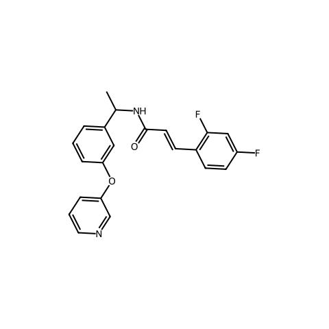 CC(NC(=O)C=Cc1ccc(F)cc1F)c1cccc(Oc2cccnc2)c1